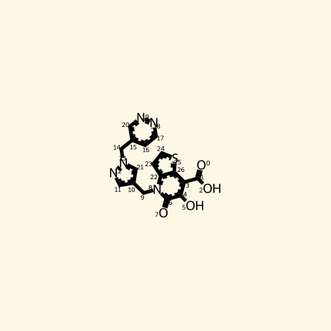 O=C(O)c1c(O)c(=O)n(Cc2cnn(Cc3ccnnc3)c2)c2ccsc12